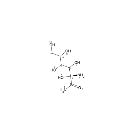 NC(=O)[C@](N)(O)C(O)C(O)C(O)CO